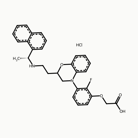 C[C@@H](NCCC1CN(c2cccc(OCC(=O)O)c2F)c2ccccc2O1)c1cccc2ccccc12.Cl